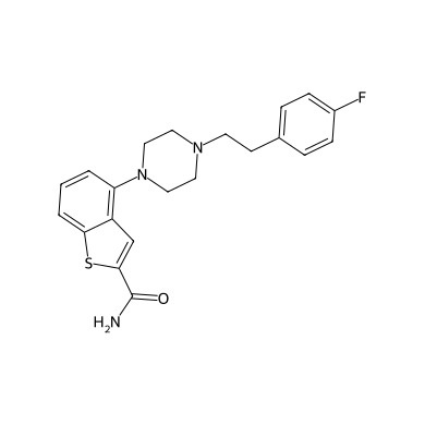 NC(=O)c1cc2c(N3CCN(CCc4ccc(F)cc4)CC3)cccc2s1